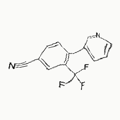 N#Cc1ccc(-c2cccnc2)c(C(F)(F)F)c1